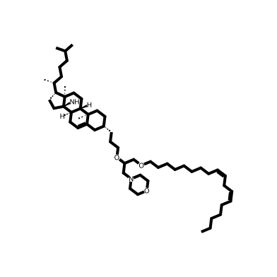 CCCCC/C=C\C/C=C\CCCCCCCCOCC(CN1CCOCC1)OCCC[C@H]1CC[C@@]2(C)C(=CC[C@@H]3[C@@H]2CC[C@]2(C)[C@@H]([C@H](C)CCCC(C)C)CC[C@@]32N)C1